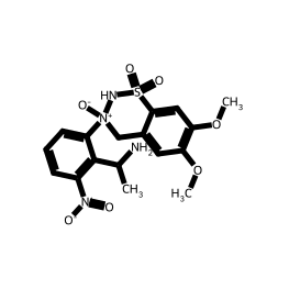 COc1cc2c(cc1OC)S(=O)(=O)N[N+]([O-])(c1cccc([N+](=O)[O-])c1C(C)N)C2